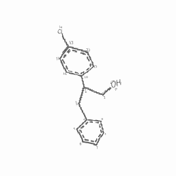 OCC(Cc1ccccc1)c1ccc(Cl)cc1